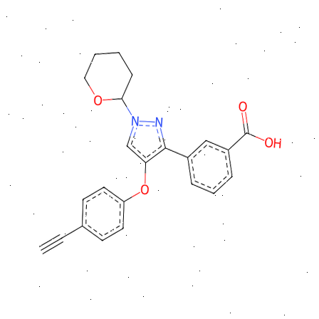 C#Cc1ccc(Oc2cn(C3CCCCO3)nc2-c2cccc(C(=O)O)c2)cc1